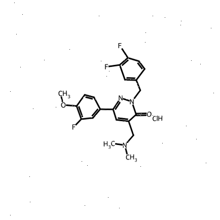 COc1ccc(-c2cc(CN(C)C)c(=O)n(Cc3ccc(F)c(F)c3)n2)cc1F.Cl